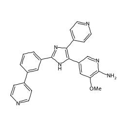 COc1cc(-c2[nH]c(-c3cccc(-c4ccncc4)c3)nc2-c2ccncc2)cnc1N